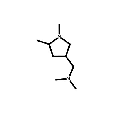 CC1CC(CN(C)C)CN1C